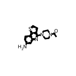 CC(=O)N1CCN(c2nc3cc(N)ccc3c3sccc23)CC1